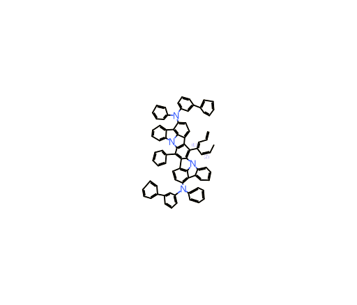 C=C/C=C(\C=C/C)c1c2c3ccc(N(c4ccccc4)c4cccc(-c5ccccc5)c4)c4c5ccccc5n(c2c(-c2ccccc2)c2c5ccc(N(c6ccccc6)c6cccc(-c7ccccc7)c6)c6c7ccccc7n(c12)c56)c34